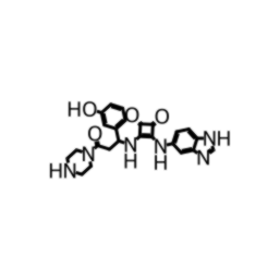 O=C(CC(Nc1c(Nc2ccc3[nH]cnc3c2)c(=O)c1=O)c1cccc(O)c1)N1CCNCC1